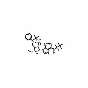 CC[C@H]1O[C@@H](n2cnc3c(N[Si](C)(C)C(C)(C)C)ncnc32)[C@@H](O[Si](C)(C)C(C)(C)C)C1CCc1ccccc1